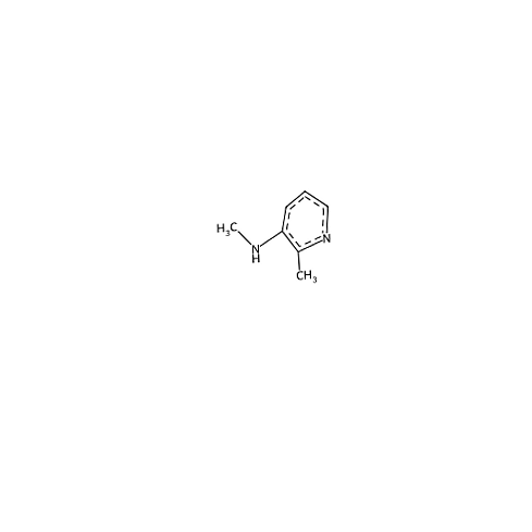 CNc1cccnc1C